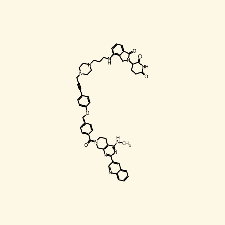 CNc1nc(-c2cnc3ccccc3c2)nc2c1CCN(C(=O)c1ccc(COc3ccc(C#CCN4CCN(CCCNc5cccc6c5CN(C5CCC(=O)NC5=O)C6=O)CC4)cc3)cc1)C2